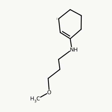 COCCCNC1=C[C]CCC1